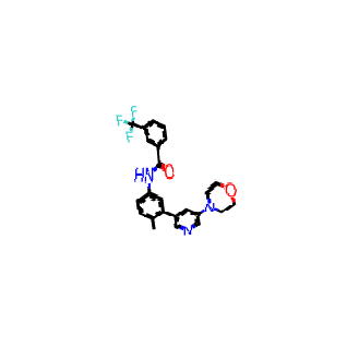 Cc1ccc(NC(=O)c2cccc(C(F)(F)F)c2)cc1-c1cncc(N2CCOCC2)c1